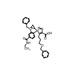 CCNC(=O)c1ccc([N+]2(C3CC3)N=NC(C(=O)O)=C2CCCOCc2ccccc2)c(OCc2ccccc2)c1